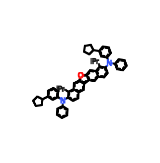 CC(C)c1c(N(c2ccccc2)c2cccc(C3CCCC3)c2)ccc2cc3c(cc12)oc1cc2c(C(C)C)c(N(c4ccccc4)c4cccc(C5CCCC5)c4)ccc2cc13